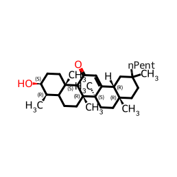 CCCCCC1(C)CC[C@]2(C)CC[C@]3(C)C(=CC(=O)C4[C@@]5(C)CC[C@H](O)[C@H](C)C5CC[C@]43C)[C@@H]2C1